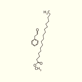 CCCCCCCCCCCCCCCCCC(=O)OC.O=CCc1ccccc1